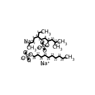 CCCCC(CC)CCC(CC(C)C)OS(=O)(=O)[O-].CCCCCCCCCCOS(=O)(=O)[O-].[Na+].[Na+]